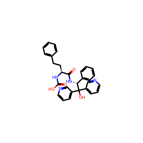 O=C(O)N[C@@H](CCc1ccccc1)C(=O)N[C@H](c1ccccc1)C(O)(c1cccnc1)c1cccnc1